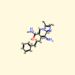 CNC(=O)c1cn2c(C)c(C)nc2c(N)c1CC=Cc1ccccc1